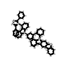 c1ccc(-c2nnc(-c3ccccc3)n2-c2cccc3c2c2ccccc2n3-c2cccc(-c3ccccc3-n3c4ccccc4c4cc5c(cc43)oc3ccccc35)c2)cc1